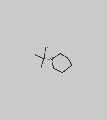 [CH2]C(C)(C)N1CCCCC1